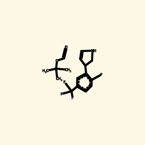 CC(C)(C)OC=O.Fc1ccc(C(F)(F)F)cc1C1C=CNC1